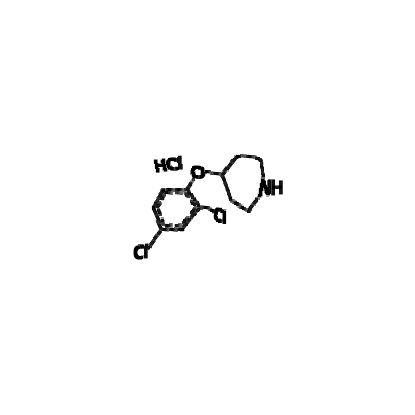 Cl.Clc1ccc(OC2CCNCC2)c(Cl)c1